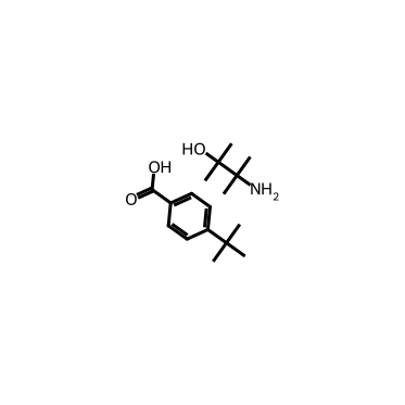 CC(C)(C)c1ccc(C(=O)O)cc1.CC(C)(N)C(C)(C)O